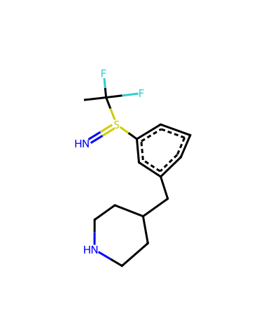 CC(F)(F)S(=N)c1cccc(CC2CCNCC2)c1